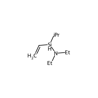 C=C[SiH](C(C)C)N(CC)CC